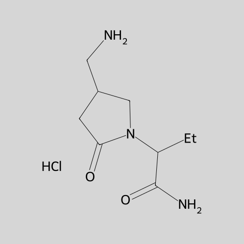 CCC(C(N)=O)N1CC(CN)CC1=O.Cl